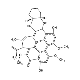 COC1=C2c3c4c5c(c(O)cc(OC)c5c5c(OC)cc(O)c(c35)C1=O)C1N[C@H]3CCCC[C@H]3NC1=C4C=C(C)C2C(C)=O